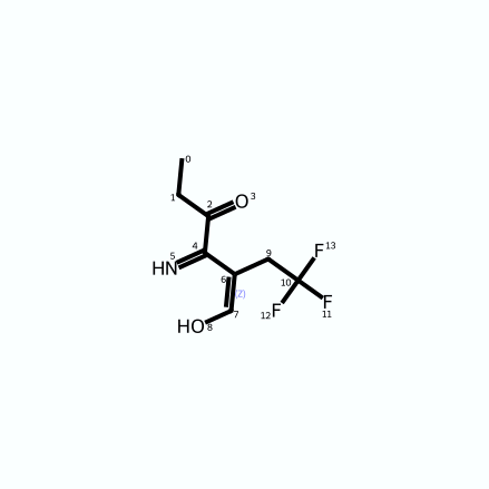 CCC(=O)C(=N)/C(=C\O)CC(F)(F)F